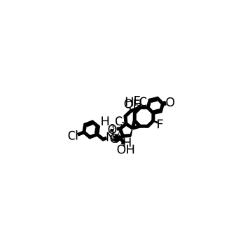 C[C@]12C[C@H](O)[C@@]3(F)CC4C(C[C@H](F)C5=CC(=O)C=C[C@@]53C)[C@@]41C[C@H]1CN(CC3=CC=CC(Cl)C3)O[C@]12C(=O)CO